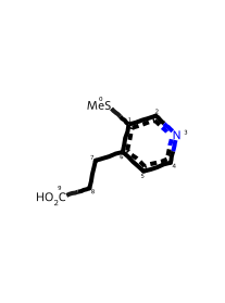 CSc1cnccc1CCC(=O)O